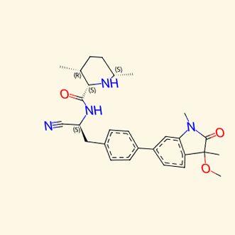 COC1(C)C(=O)N(C)c2cc(-c3ccc(C[C@@H](C#N)NC(=O)[C@H]4N[C@@H](C)CC[C@H]4C)cc3)ccc21